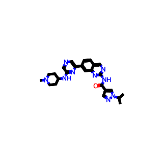 CC(C)n1cc(C(=O)Nc2ncc3ccc(-c4cncc(NC5CCN(C)CC5)n4)cc3n2)cn1